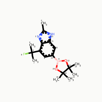 Cc1nc2c(C(C)(C)F)cc(B3OC(C)(C)C(C)(C)O3)cc2[nH]1